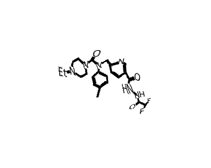 CCN1CCN(C(=O)N(Cc2ccc(C(=O)NNC(=O)C(F)F)cn2)c2ccc(C)cc2)CC1